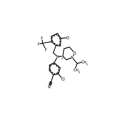 CC(C)N1C[C@@H](N(Cc2cc(Cl)ccc2C(F)(F)F)c2ccc(C#N)c(Cl)c2)CCO1